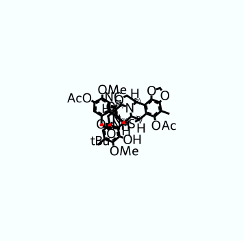 COc1cc2c(cc1OC(C)=O)CCN[C@]21CS[C@@H]2c3c(OC(C)=O)c(C)c4c(c3[C@H](COC1=O)N1C2[C@H]2c3c(cc(C)c(OC)c3O)C[C@@H]([C@@H]1C#N)N2C(=O)OC(C)(C)C)OCO4